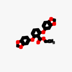 CCOC(=O)c1c(Oc2ccc3c(c2)OCO3)cccc1Oc1ccc2c(c1)OCO2